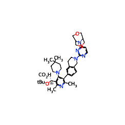 Cc1nc(C)c([C@H](OC(C)(C)C)C(=O)O)c(N2CCC(C)(C)CC2)c1-c1ccc2c(c1)CCN(c1nccc(N3C4COCC3COC4)n1)C2